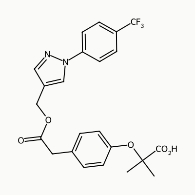 CC(C)(Oc1ccc(CC(=O)OCc2cnn(-c3ccc(C(F)(F)F)cc3)c2)cc1)C(=O)O